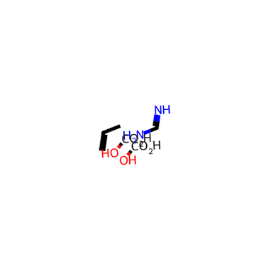 C=CC.N=CN.O=C(O)O.O=C(O)O